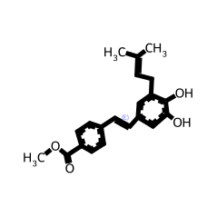 COC(=O)c1ccc(/C=C/c2cc(O)c(O)c(CC=C(C)C)c2)cc1